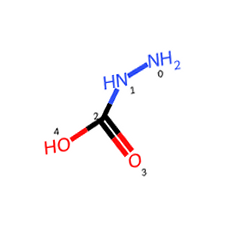 NNC(=O)O